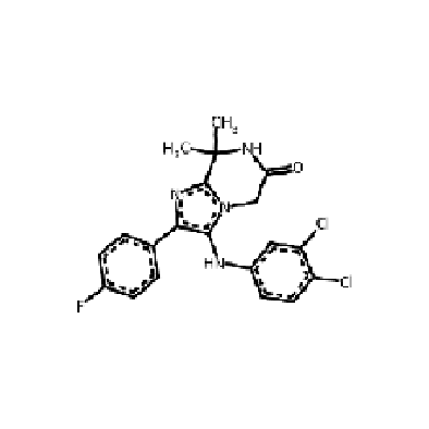 CC1(C)NC(=O)Cn2c1nc(-c1ccc(F)cc1)c2Nc1ccc(Cl)c(Cl)c1